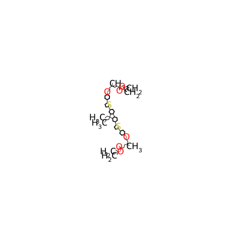 C=CC(C=C)OC(=O)CC[C@H](C)CCOc1ccc(-c2ccc(-c3ccc4c(c3)C(CCC)(CCC)c3cc(-c5ccc(-c6ccc(OCC[C@@H](C)CCC(=O)OC(C=C)C=C)cc6)s5)ccc3-4)s2)cc1